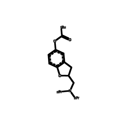 CCCN(CCC)CC1Cc2cc(OC(=O)C(C)(C)C)ccc2O1